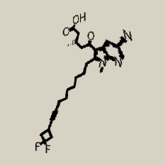 C[C@H](CC(=O)O)CC(=O)c1c(CCCCCCCC#CC2CC(F)(F)C2)n(C)c2ncc(C#N)cc12